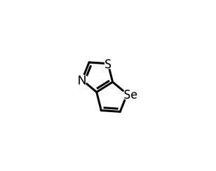 c1nc2cc[se]c2s1